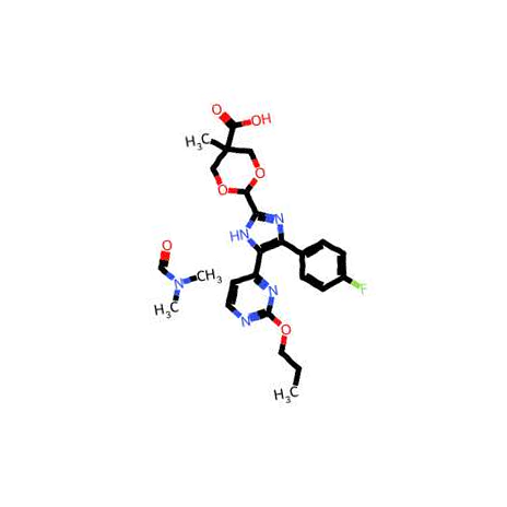 CCCOc1nccc(-c2[nH]c(C3OCC(C)(C(=O)O)CO3)nc2-c2ccc(F)cc2)n1.CN(C)C=O